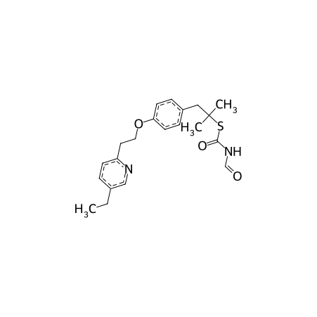 CCc1ccc(CCOc2ccc(CC(C)(C)SC(=O)NC=O)cc2)nc1